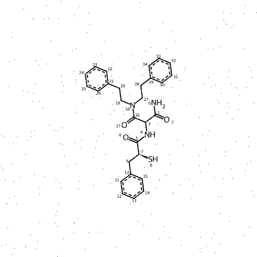 NC(=O)C(NC(=O)[C@@H](S)Cc1ccccc1)C(=O)N(CCc1ccccc1)CCc1ccccc1